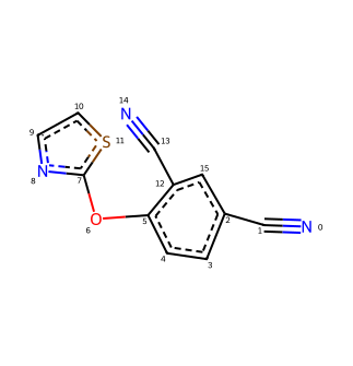 N#Cc1ccc(Oc2n[c]cs2)c(C#N)c1